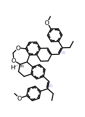 CC/C(=C/C1=Cc2ccc3c(c2CC1)C1c2ccc(/C=C(/CC)c4ccc(OC)cc4)cc2CC[C@H]1OCO3)c1ccc(OC)cc1